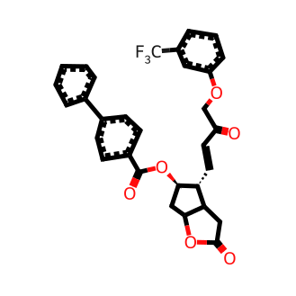 O=C(/C=C/[C@@H]1C2CC(=O)OC2C[C@H]1OC(=O)c1ccc(-c2ccccc2)cc1)COc1cccc(C(F)(F)F)c1